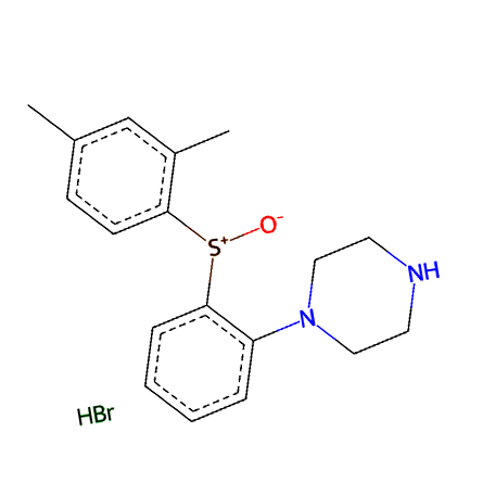 Br.Cc1ccc([S+]([O-])c2ccccc2N2CCNCC2)c(C)c1